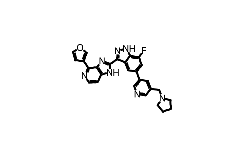 Fc1cc(-c2cncc(CN3CCCC3)c2)cc2c(-c3nc4c(-c5ccoc5)nccc4[nH]3)n[nH]c12